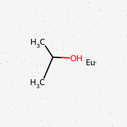 CC(C)O.[Eu]